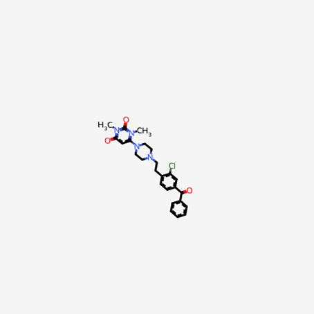 Cn1c(N2CCN(CCc3ccc(C(=O)c4ccccc4)cc3Cl)CC2)cc(=O)n(C)c1=O